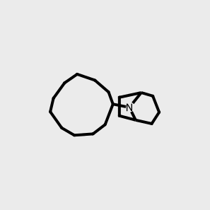 C1CCCCCC(N2C3CCCC2CC3)CCCC1